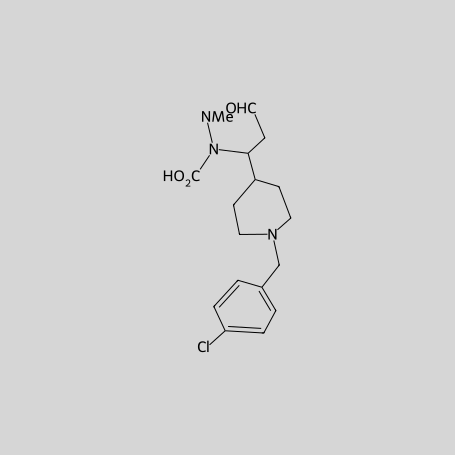 CNN(C(=O)O)C(CC=O)C1CCN(Cc2ccc(Cl)cc2)CC1